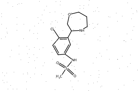 CS(=O)(=O)Nc1ccc(Cl)c(C2COCCCN2)c1